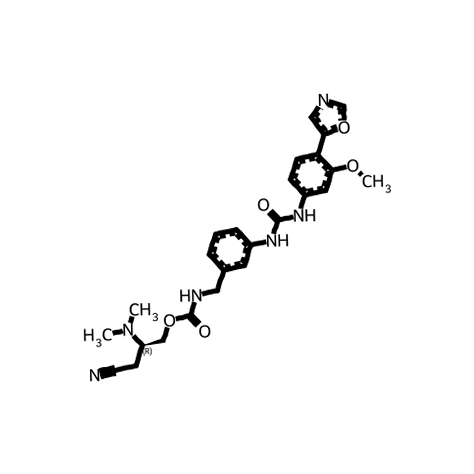 COc1cc(NC(=O)Nc2cccc(CNC(=O)OC[C@@H](CC#N)N(C)C)c2)ccc1-c1cnco1